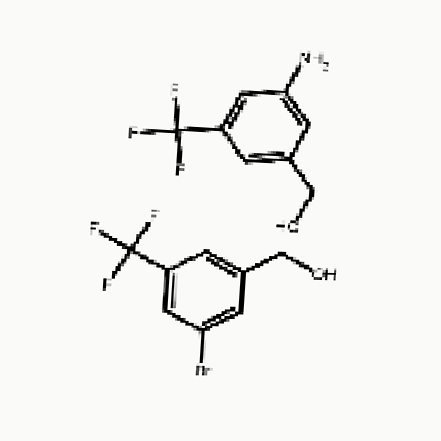 Nc1cc(CO)cc(C(F)(F)F)c1.OCc1cc(Br)cc(C(F)(F)F)c1